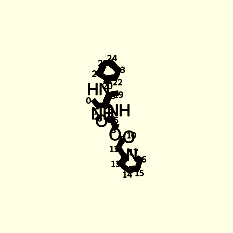 CC(=N)/C(NC(=O)COC(=O)Cc1ccccn1)=C(/C)Nc1ccccc1